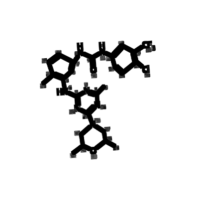 Cc1nc(Nc2cc(NC(=O)Nc3ccc(Cl)c(C(F)(F)F)c3)ccc2C)nc(N2CC(C)OC(C)C2)n1